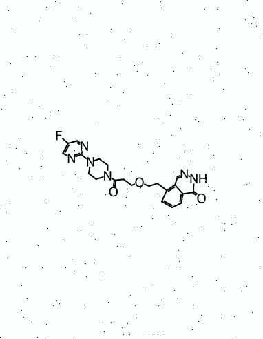 O=C(CCOCCc1cccc2c(=O)[nH]ncc12)N1CCN(c2ncc(F)cn2)CC1